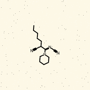 CCCCCC(C#N)/C(=N/C#N)N1CCCCC1